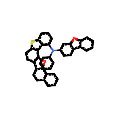 c1ccc(N(c2ccc3c(c2)oc2ccccc23)c2cccc3sc4ccc5c6ccc7ccccc7c6oc5c4c23)cc1